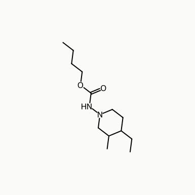 CCCCOC(=O)NN1CCC(CC)C(C)C1